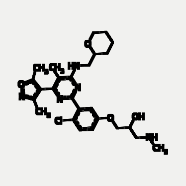 CNCC(O)COc1ccc(Cl)c(-c2nc(NCC3CCCCO3)c(C)c(-c3c(C)noc3C)n2)c1